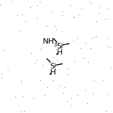 C[SiH](C)C.C[SiH](C)C.N